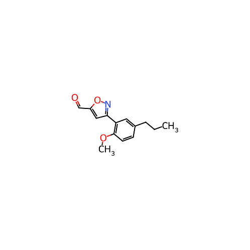 CCCc1ccc(OC)c(-c2cc(C=O)on2)c1